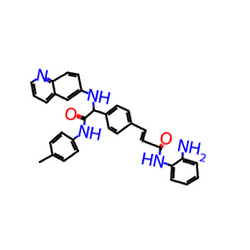 Cc1ccc(NC(=O)C(Nc2ccc3ncccc3c2)c2ccc(C=CC(=O)Nc3ccccc3N)cc2)cc1